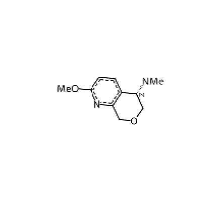 CN[C@@H]1COCc2nc(OC)ccc21